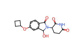 O=C1CCC(N2C(=O)c3ccc(OC4CCC4)cc3C2O)C(=O)N1